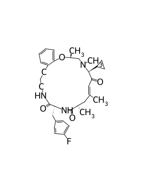 C/C1=C\C(=O)[C@H](C2CC2)N(C)C[C@H](C)Oc2ccccc2CCCNC(=O)[C@@H](Cc2ccc(F)cc2)NC(=O)[C@@H](C)C1